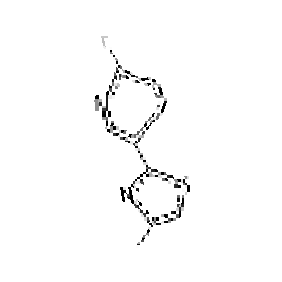 Cc1csc(-c2ccc(F)nc2)n1